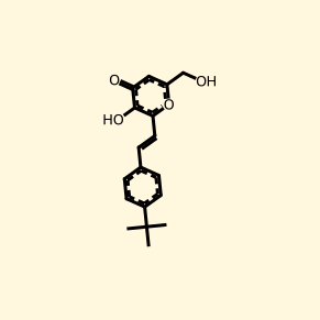 CC(C)(C)c1ccc(C=Cc2oc(CO)cc(=O)c2O)cc1